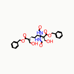 O=CNC(CCC[C@H](CO)C(=O)OCc1ccccc1)(NC=O)[C@H](CO)C(=O)OCc1ccccc1